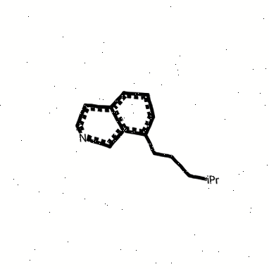 CC(C)CCCc1cccc2ccncc12